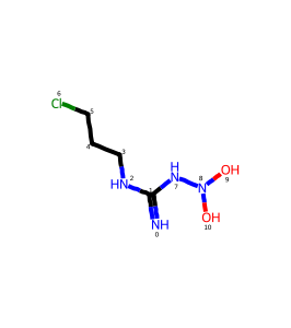 N=C(NCCCCl)NN(O)O